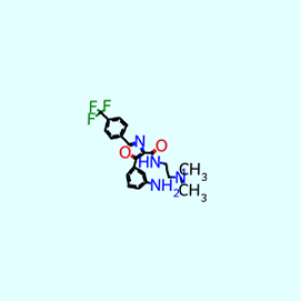 CN(C)CCNC(=O)c1nc(-c2ccc(C(F)(F)F)cc2)oc1-c1cccc(N)c1